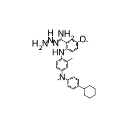 COc1ccc(Nc2ccc(N(C)c3ccc(C4CCCCC4)cc3)cc2C)c(/C(N)=N/NN)c1